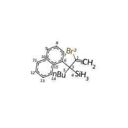 C=C(Br)C([SiH3])(CCCC)c1cccc2ccccc12